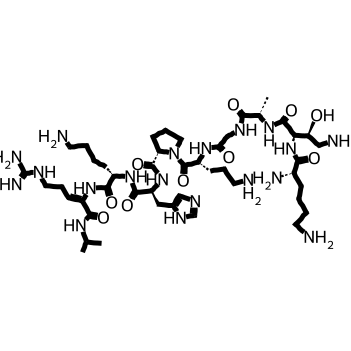 CC(C)NC(=O)/C(=C/CCNC(=N)N)NC(=O)[C@H](CCCCN)NC(=O)[C@H](Cc1cnc[nH]1)NC(=O)[C@@H]1CCCN1C(=O)[C@@H](CCCN)NC(=O)CNC(=O)[C@H](C)NC(=O)[C@@H](NC(=O)[C@@H](N)CCCCN)[C@@H](O)CN